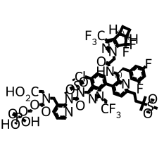 CN(C(=O)N(c1nn(CC(F)(F)F)c2c(-c3ccc(CCC(C)(C)S(C)(=O)=O)nc3[C@H](Cc3cc(F)cc(F)c3)NC(=O)Cn3nc(C(F)(F)F)c4c3C(F)(F)[C@@H]3CC[C@H]43)ccc(Cl)c12)S(C)(=O)=O)c1ncccc1CN(CC(=O)O)C(=O)OCOP(=O)(O)O